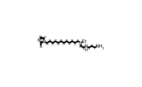 CCN(/C=C\NCCCN)CCCCCCCCCCCCn1ccnc1C